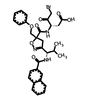 CC(C)[C@H](NC(=O)c1ccc2ccccc2c1)C1=NOC(COc2ccccc2)(C(=O)N[C@@H](CC(=O)O)C(=O)CBr)C1